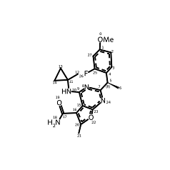 COc1ccc([C@@H](C)c2nc(NC3(C)CC3)c3c(C(N)=O)c(C)oc3n2)c(F)c1